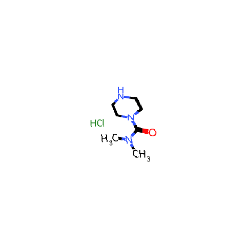 CN(C)C(=O)N1CCNCC1.Cl